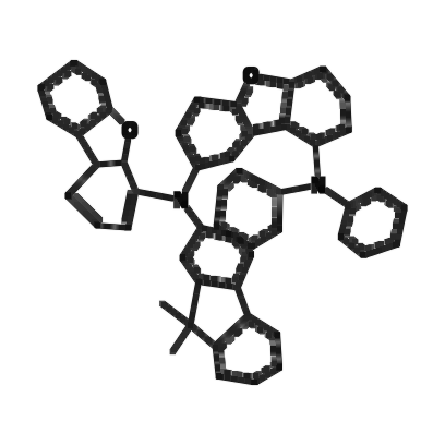 CC1(C)c2ccccc2-c2ccc(N(C3=CC=CC4c5ccccc5OC34)c3ccc4oc5cccc(N(c6ccccc6)c6ccccc6)c5c4c3)cc21